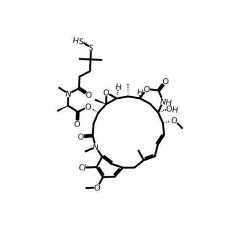 COc1cc2cc(c1Cl)N(C)C(=O)C[C@H](OC(=O)[C@@H](C)N(C)C(=O)CCC(C)(C)SS)[C@]1(C)O[C@H]1[C@H](C)[C@@H]1C[C@@](O)(NC(=O)O1)[C@H](OC)/C=C/C=C(\C)C2